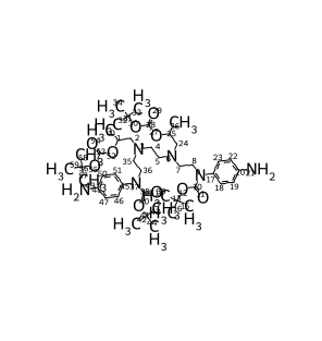 CC(CN(CCN(CCN(C(=O)OC(C)(C)C)c1ccc(N)cc1)CC(C)OC(=O)OC(C)(C)C)CCN(C(=O)OC(C)(C)C)c1ccc(N)cc1)OC(=O)OC(C)(C)C